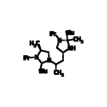 CC(CC1CN(C(C)C)C(C)(C(C)(C)C)N1)N1C[C@H](C)N(C(C)C)C1C(C)(C)C